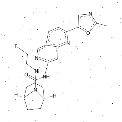 Cc1ncc(-c2ccc3cnc(NC(=O)N4[C@@H]5CC[C@H]4CC(NCCF)C5)cc3n2)o1